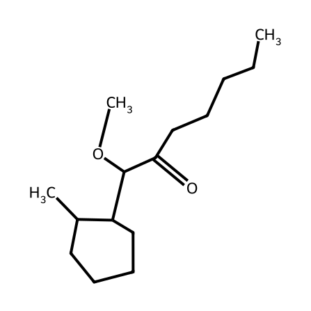 CCCCCC(=O)C(OC)C1CCCCC1C